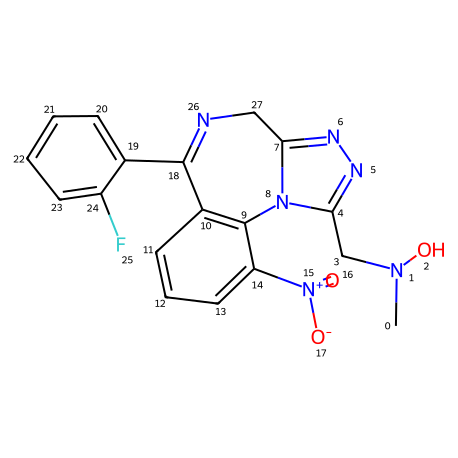 CN(O)Cc1nnc2n1-c1c(cccc1[N+](=O)[O-])C(c1ccccc1F)=NC2